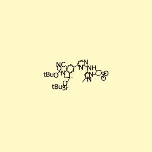 Cc1cc(Nc2nccc(-c3cc(C#N)c4c(c3)[C@@](C)(CO[Si](C)(C)C(C)(C)C)CN4C(=O)OC(C)(C)C)n2)n(C2CCS(=O)(=O)C2)n1